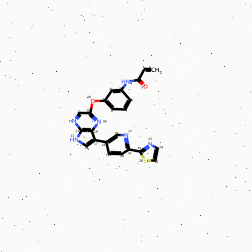 C=CC(=O)Nc1cccc(Oc2cnc3[nH]cc(-c4ccc(-c5nccs5)nc4)c3n2)c1